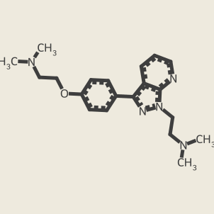 CN(C)CCOc1ccc(-c2nn(CCN(C)C)c3ncccc23)cc1